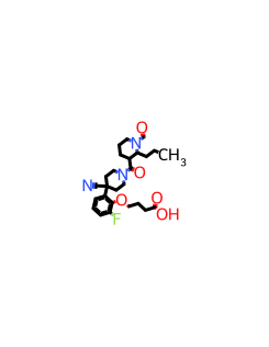 CCCC1C(C(=O)N2CCC(C#N)(c3cccc(F)c3OCCCC(=O)O)CC2)CCCN1C=O